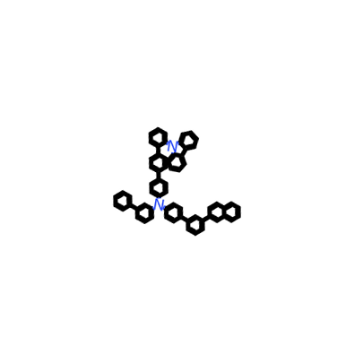 c1ccc(-c2cccc(N(c3ccc(-c4ccc(-c5ccccc5-n5c6ccccc6c6ccccc65)cc4)cc3)c3ccc(-c4cccc(-c5ccc6ccccc6c5)c4)cc3)c2)cc1